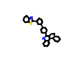 c1cc(-c2ccc(-c3nc4ccccc4c4c3ccc3ccccc34)cc2)cc(-c2nc3ccccc3s2)c1